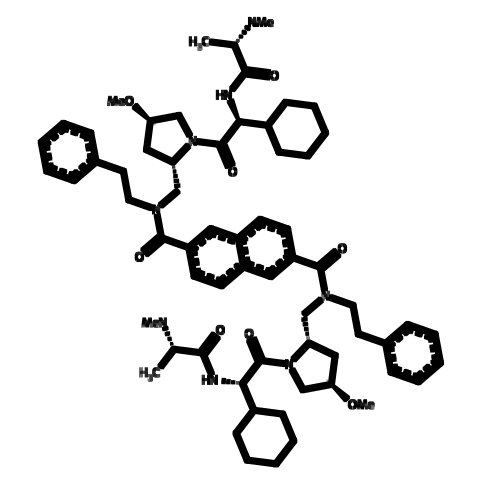 CN[C@@H](C)C(=O)N[C@H](C(=O)N1C[C@H](OC)C[C@H]1CN(CCc1ccccc1)C(=O)c1ccc2cc(C(=O)N(CCc3ccccc3)C[C@@H]3C[C@@H](OC)CN3C(=O)[C@@H](NC(=O)[C@H](C)NC)C3CCCCC3)ccc2c1)C1CCCCC1